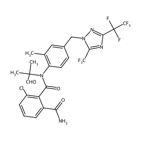 Cc1cc(Cn2nc(C(F)(F)C(F)(F)F)nc2C(F)(F)F)ccc1N(C(=O)c1c(Cl)cccc1C(N)=O)C(C)(C)C=O